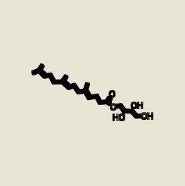 CC(C)=CCC/C(C)=C/CC/C(C)=C/CCC(=O)OC[C@H](O)[C@H](O)CO